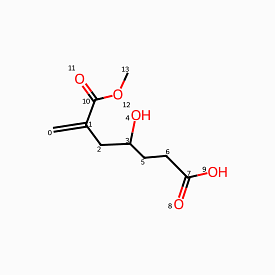 C=C(CC(O)CCC(=O)O)C(=O)OC